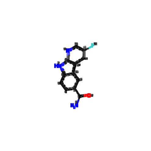 NC(=O)c1ccc2[nH]c3ncc(F)cc3c2c1